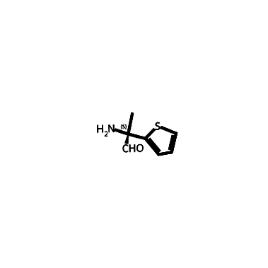 C[C@](N)(C=O)c1cccs1